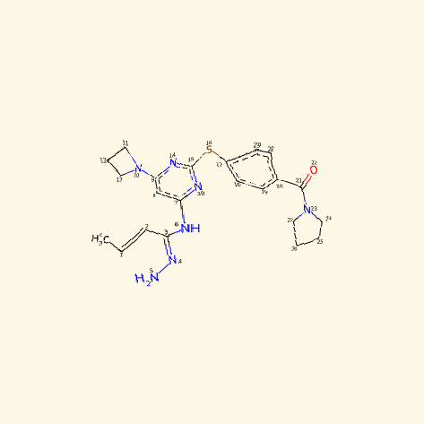 C/C=C/C(=N\N)Nc1cc(N2CCC2)nc(Sc2ccc(C(=O)N3CCCC3)cc2)n1